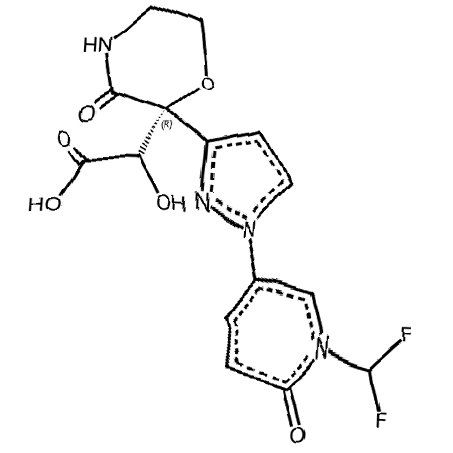 O=C(O)C(O)[C@@]1(c2ccn(-c3ccc(=O)n(C(F)F)c3)n2)OCCNC1=O